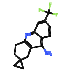 Nc1c2c(nc3cc(C(F)(F)F)ccc13)CCC1(CC1)C2